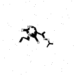 C=CCn1c(=O)[nH]cc(/C(C)=N/OC(C)C)c1=O